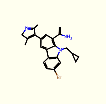 C=C(N)c1cc(C2=C(C)CN=C2C)cc2c3ccc(Br)cc3n(CC3CC3)c12